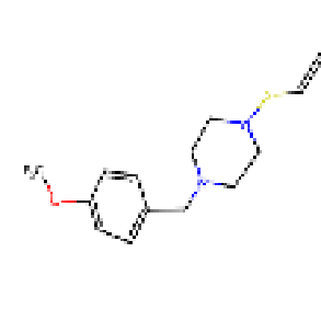 C=CSN1CCN(Cc2ccc(OC(F)(F)F)cc2)CC1